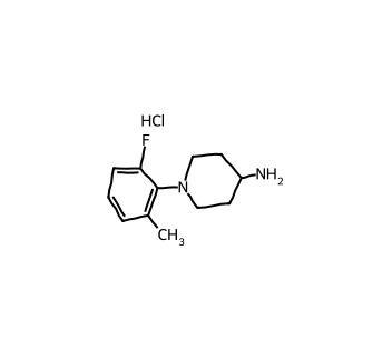 Cc1cccc(F)c1N1CCC(N)CC1.Cl